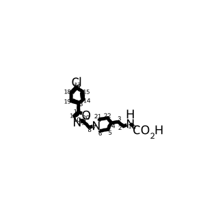 O=C(O)NCCC1CCN(Cc2ncc(-c3ccc(Cl)cc3)o2)CC1